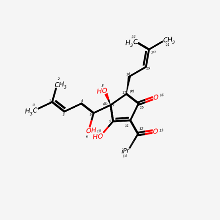 CC(C)=CCC(O)[C@@]1(O)C(O)=C(C(=O)C(C)C)C(=O)[C@@H]1CC=C(C)C